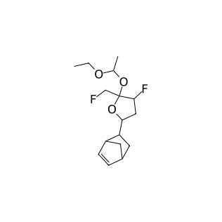 CCOC(C)OC1(CF)OC(C2CC3C=CC2C3)CC1F